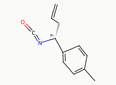 C=CC[C@@H](N=C=O)c1ccc(C)cc1